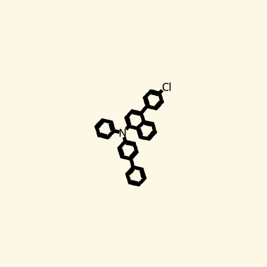 Clc1ccc(-c2ccc(N(c3ccccc3)c3ccc(-c4ccccc4)cc3)c3ccccc23)cc1